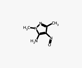 Cc1nn(C)c(N)c1N=O